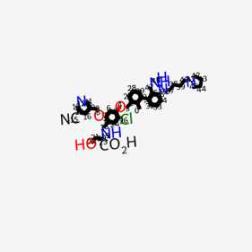 Cc1c(COc2cc(OCc3cncc(C#N)c3)c(CNC(CO)C(=O)O)cc2Cl)cccc1-c1cccc(NCCCCN2CCCC2)c1C=N